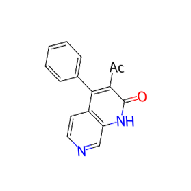 CC(=O)c1c(-c2ccccc2)c2ccncc2[nH]c1=O